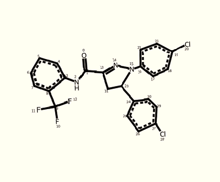 O=C(Nc1ccccc1C(F)(F)F)C1=NN(c2ccc(Cl)cc2)C(c2ccc(Cl)cc2)C1